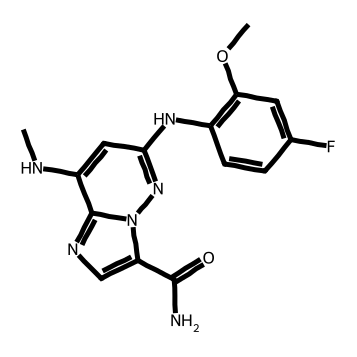 CNc1cc(Nc2ccc(F)cc2OC)nn2c(C(N)=O)cnc12